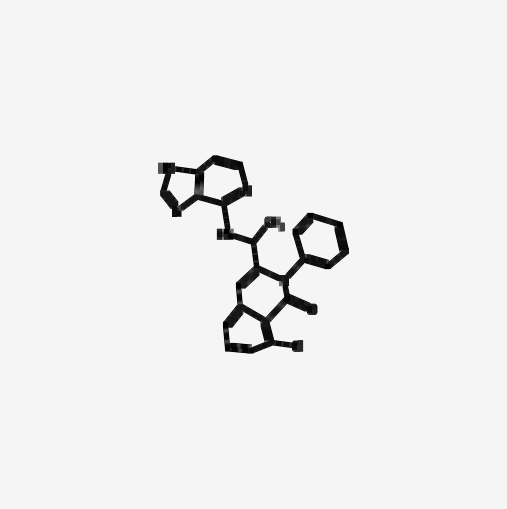 CC(Nc1nccc2[nH]cnc12)c1cc2cccc(Cl)c2c(=O)n1-c1ccccc1